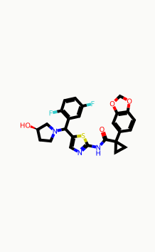 O=C(Nc1ncc(C(c2cc(F)ccc2F)N2CC[C@@H](O)C2)s1)C1(c2ccc3c(c2)OCO3)CC1